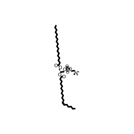 CCCCC/C=C\CCCCCCCCCCC(=O)O[C@H](COC(=O)CCCCCCCCCCCCCCCCC)COP(=O)([O-])OCC[N+](C)(C)C